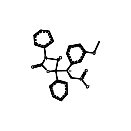 COc1cccc([C@@H](C[N+](=O)[O-])C2(c3ccccc3)OC(=O)N(c3ccccc3)C2=O)c1